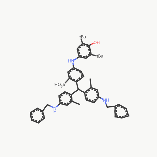 Cc1cc(NCc2ccccc2)ccc1C(c1ccc(NCc2ccccc2)cc1C)c1ccc(Nc2cc(C(C)(C)C)c(O)c(C(C)(C)C)c2)cc1S(=O)(=O)O